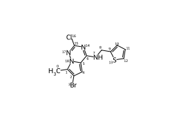 Cc1c(Br)cc2c(NCc3cccs3)nc(Cl)nn12